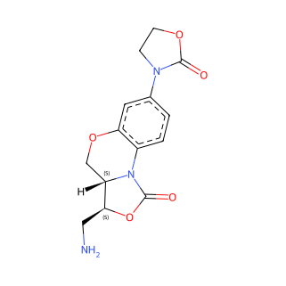 NC[C@@H]1OC(=O)N2c3ccc(N4CCOC4=O)cc3OC[C@@H]12